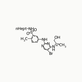 CCCCCCCNS(=O)(=O)c1cc(Nc2ncc(Br)c(N[C@H](C)CO)n2)ccc1C